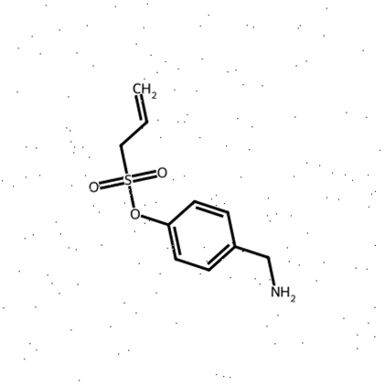 C=CCS(=O)(=O)Oc1ccc(CN)cc1